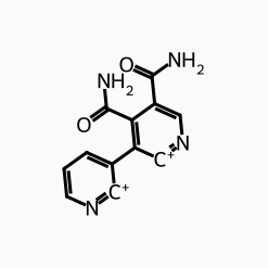 NC(=O)C1=CN=[C+]C(C2=CC=CN=[C+]2)=C1C(N)=O